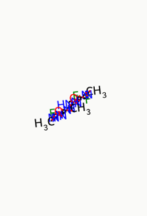 Cc1cn2cc(-c3cc(F)c4c(=O)n(C5CCNC(C6CN(c7ccc8c(=O)n(-c9cc(F)c%10nc(C)cn%10c9)cnc8c7)CCN6C)C5)cnc4c3)cc(F)c2n1